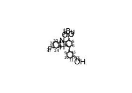 CC(C)(C)OC(=O)c1ccc(-c2cccc(CO)c2)cc1Nc1ccc(F)cc1